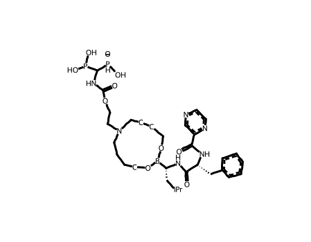 CC(C)C[C@@H](NC(=O)[C@@H](Cc1ccccc1)NC(=O)c1cnccn1)B1OCCCCN(CCOC(=O)NC(P(O)O)[PH](=O)O)CCCCO1